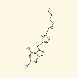 CCCCC(C)OCc1nc(Cn2ncc3nc(Cl)nc(OC)c32)co1